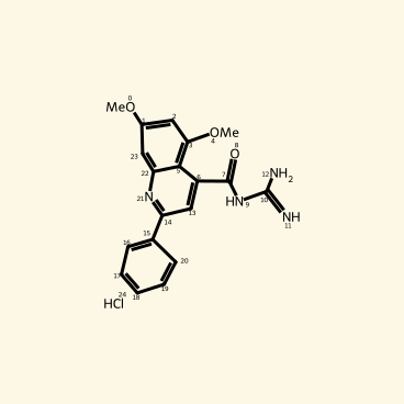 COc1cc(OC)c2c(C(=O)NC(=N)N)cc(-c3ccccc3)nc2c1.Cl